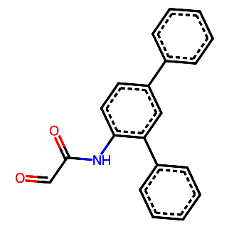 O=CC(=O)Nc1ccc(-c2ccccc2)cc1-c1ccccc1